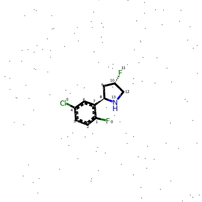 Fc1ccc(Cl)cc1[C@H]1C[C@H](F)CN1